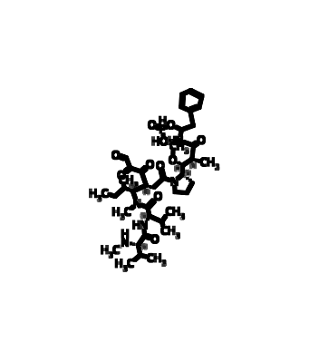 CCC(C)[C@@H]([C@@H](CC(=O)N1CCC[C@H]1[C@H](OC)[C@H](C)C(=O)NC(Cc1ccccc1)O[PH](=O)O)C(=O)C(=O)C=O)N(C)C(=O)[C@@H](NC(=O)[C@@H](NC)C(C)C)C(C)C